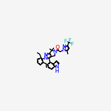 CCc1cccc(CC)c1-n1nc2c(c1-c1cccc3[nH]ccc13)CN(C(=O)Cn1nc(C(F)(F)F)cc1C)C2(C)C